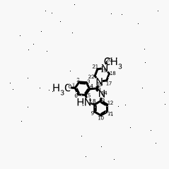 Cc1ccc2c(c1)Nc1ccccc1N=C2N1CCN(C)CC1